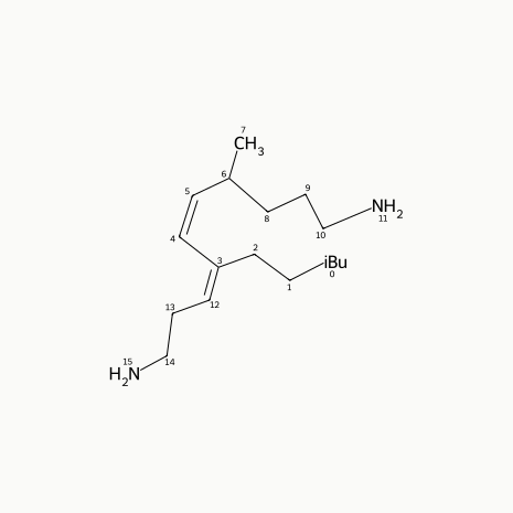 CCC(C)CCC(/C=C\C(C)CCCN)=C/CCN